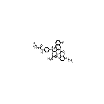 CCNC(=O)Nc1ccc(N/C(CN(C)C)=C2\C(=N)N(Cc3c(F)cccc3F)C(=O)N(c3cccc(OC)c3F)C2=O)cc1